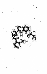 COc1ncccc1-c1cn2ncc(C(=O)Nc3cc(NC(=O)CCl)cnc3C)c2s1